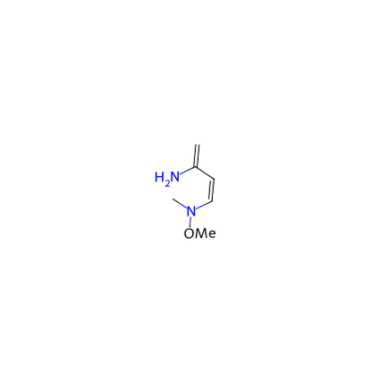 C=C(N)/C=C\N(C)OC